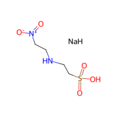 O=[N+]([O-])CCNCCS(=O)(=O)O.[NaH]